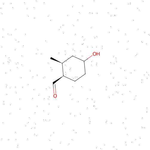 C[C@H]1CC(O)CC[C@H]1C=O